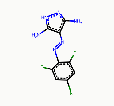 Nc1n[nH]c(N)c1N=Nc1c(F)cc(Br)cc1F